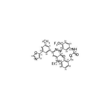 CCNc1cc(-c2cc(C)cc(-c3cnco3)c2)nn(-c2cc(NC(=O)OCc3ccccc3)ccc2C(F)(F)F)c1=O